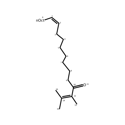 CCCCCCCC/C=C\CCCCCCCC(=O)C(C)=C(C)C